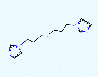 c1cn(CCCNCCCn2ccnc2)cn1